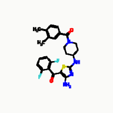 Cc1ccc(C(=O)N2CCC(Nc3nc(N)c(C(=O)c4c(F)cccc4F)s3)CC2)cc1C